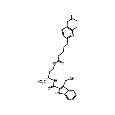 O=C(CCCCc1ccc2c(n1)CCNC2)NCC[C@H](NC(=O)c1[nH]c2ccccc2c1CO)C(=O)O